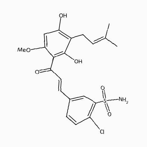 COc1cc(O)c(CC=C(C)C)c(O)c1C(=O)/C=C/c1ccc(Cl)c(S(N)(=O)=O)c1